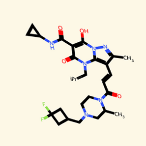 Cc1nn2c(O)c(C(=O)NC3CC3)c(=O)n(CC(C)C)c2c1C=CC(=O)N1CCN(CC2CC(F)(F)C2)CC1C